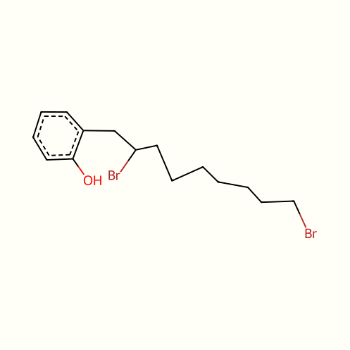 Oc1ccccc1CC(Br)CCCCCCCBr